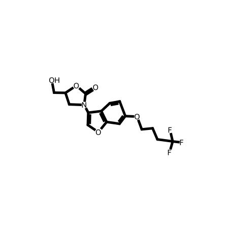 O=C1OC(CO)CN1c1coc2cc(OCCCC(F)(F)F)ccc12